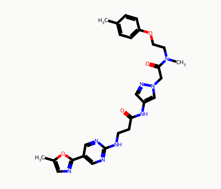 Cc1ccc(OCCN(C)C(=O)Cn2cc(NC(=O)CCNc3ncc(-c4ncc(C)o4)cn3)cn2)cc1